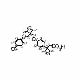 O=C(O)CC1(c2ccc(OCC3(COc4ccc(Cl)cc4)COC3)cc2)COC1